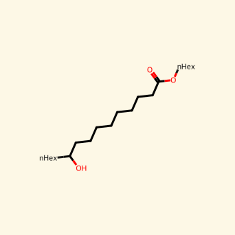 CCCCCCOC(=O)CCCCCCCCC(O)CCCCCC